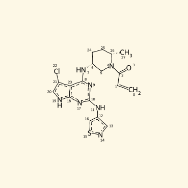 C=CC(=O)N1C[C@H](Nc2nc(Nc3cnsc3)nc3[nH]cc(Cl)c23)CC[C@@H]1C